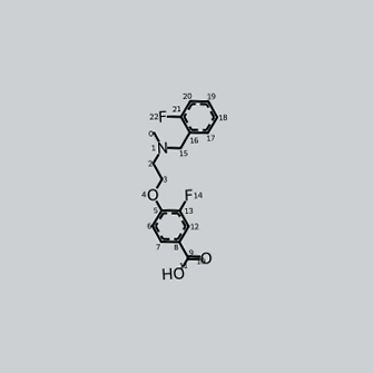 CN(CCOc1ccc(C(=O)O)cc1F)Cc1ccccc1F